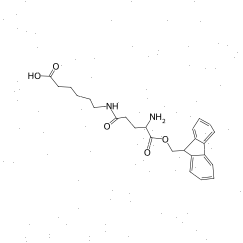 NC(CCC(=O)NCCCCCC(=O)O)C(=O)OCC1c2ccccc2-c2ccccc21